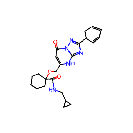 O=C(NCC1CC1)C1(OCc2cc(=O)n3nc(C4C=CC=CC4)nc3[nH]2)CCCCC1